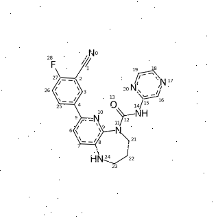 N#Cc1cc(-c2ccc3c(n2)N(C(=O)Nc2cnccn2)CCCN3)ccc1F